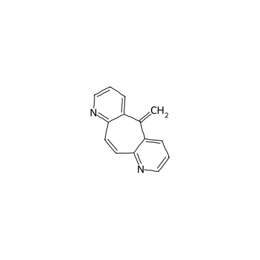 C=C1c2cccnc2C=Cc2ncccc21